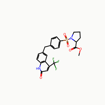 COC(=O)C1CCCN1S(=O)(=O)c1ccc(Cc2ccc3[nH]c(=O)cc(C(F)(F)F)c3c2)cc1